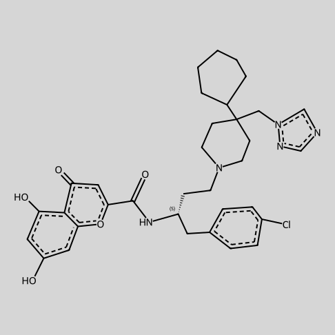 O=C(N[C@H](CCN1CCC(Cn2cncn2)(C2CCCCC2)CC1)Cc1ccc(Cl)cc1)c1cc(=O)c2c(O)cc(O)cc2o1